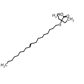 CCCCCCCCC=CCCCCCCCCSC(CC)(CC)C(=O)O